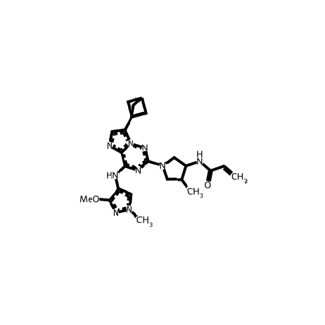 C=CC(=O)NC1CN(c2nc(Nc3cn(C)nc3OC)c3ncc(C45CC(C4)C5)n3n2)CC1C